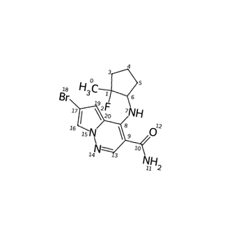 CC1(F)CCCC1Nc1c(C(N)=O)cnn2cc(Br)cc12